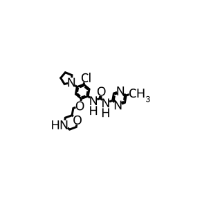 Cc1cnc(NC(=O)Nc2cc(Cl)c(N3CCCC3)cc2OCC2CNCCO2)cn1